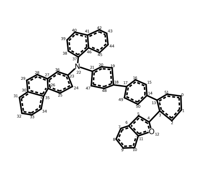 c1ccc(-c2cc3ccccc3o2)c(-c2ccc(-c3ccc(N(c4ccc5c(ccc6ccccc65)c4)c4cccc5ccccc45)cc3)cc2)c1